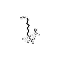 CCC.CCCCCCCCCCCCCCCC[N+](C)(C)S(=O)(=O)[O-]